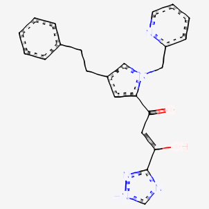 O=C(C=C(O)c1nc[nH]n1)c1cc(CCc2ccccc2)cn1Cc1ccccn1